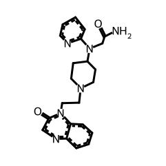 NC(=O)CN(c1ccccn1)C1CCN(CCn2c(=O)cnc3ccccc32)CC1